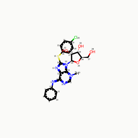 [2H]n1cnc(=Nc2ccccc2)c2nc(Sc3ccc(Cl)cc3)n([C@@H]3O[C@H](CO)[C@@H](O)[C@H]3O)c21